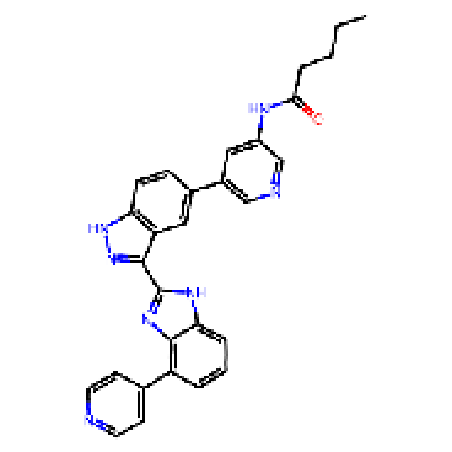 CCCCC(=O)Nc1cncc(-c2ccc3[nH]nc(-c4nc5c(-c6ccncc6)cccc5[nH]4)c3c2)c1